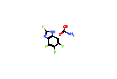 Fc1nc2c(F)c(F)c(F)cc2[nH]1.NC(=O)O